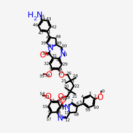 COc1ccc(C2=CN(C=O)C(/C=N\c3cc(OCC(C)(C)CC(C)(C)COc4cc5c(cc4OC)C(=O)N4C=C(c6ccc(N)cc6)CC4C=N5)c(OC)cc3C)C2)cc1